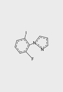 Fc1cccc(I)c1-n1cccn1